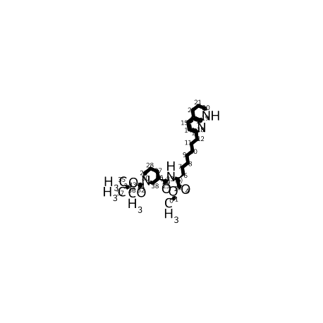 CCOC(=O)[C@H](CCCCCCCc1ccc2c(n1)NCCC2)NC(=O)[C@@H]1CCCN(C(=O)OC(C)(C)C)C1